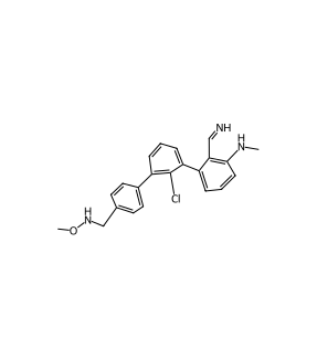 CNc1cccc(-c2cccc(-c3ccc(CNOC)cc3)c2Cl)c1C=N